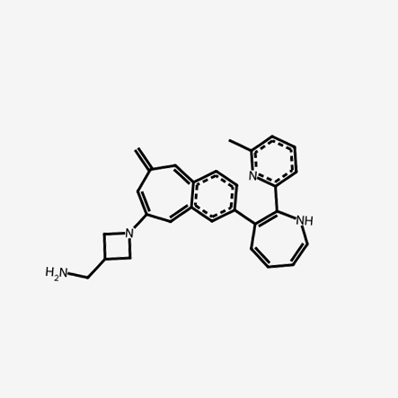 C=C1C=C(N2CC(CN)C2)C=c2cc(C3=C(c4cccc(C)n4)NC=CC=C3)ccc2=C1